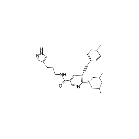 Cc1ccc(C#Cc2cc(C(=O)NCCCc3cn[nH]c3)cnc2N2CC(C)CC(C)C2)cc1